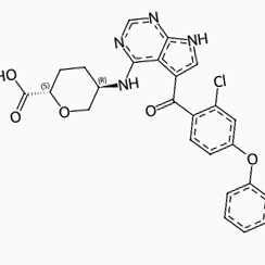 O=C(c1ccc(Oc2ccccc2)cc1Cl)c1c[nH]c2ncnc(N[C@@H]3CC[C@@H](C(=O)O)OC3)c12